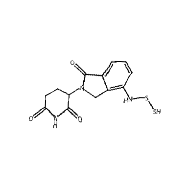 O=C1CCC(N2Cc3c(NSS)cccc3C2=O)C(=O)N1